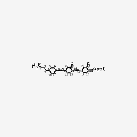 C=CCCc1ccc(C#Cc2ccc(C#Cc3ccc(CCCCC)c(F)c3)c(F)c2)cc1